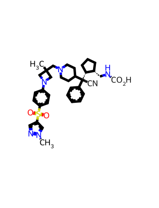 Cn1cc(S(=O)(=O)c2ccc(N3CC(C)(CN4CCC(C(C#N)(c5ccccc5)[C@@H]5CCC[C@@H]5CNC(=O)O)CC4)C3)cc2)cn1